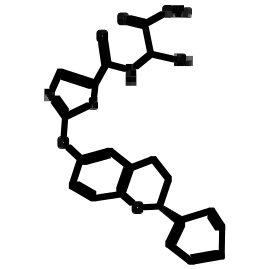 CCC(C)C(NC(=O)c1cnc(Oc2ccc3c(c2)CC[C@@H](c2ccccc2)O3)s1)C(=O)OC